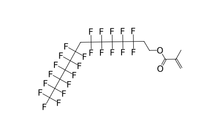 C=C(C)C(=O)OCCC(F)(F)C(F)(F)C(F)(F)C(F)(F)C(F)(F)CC(F)(F)C(F)(F)C(F)(F)C(F)(F)C(F)(F)C(F)(F)F